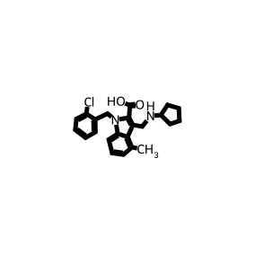 Cc1cccc2c1c(CNC1CCCC1)c(C(=O)O)n2Cc1ccccc1Cl